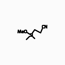 CO[Si](C)(C)CCC#N